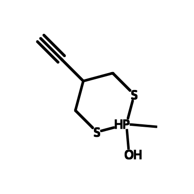 C#CC1CS[PH](C)(O)SC1